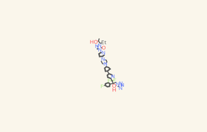 CCC(C(C)O)n1ncn(-c2ccc(N3CCN(c4ccc(-c5ccc(C(F)(F)C(O)(Cn6cnnn6)c6ccc(F)cc6)nc5)cc4)CC3)cn2)c1=O